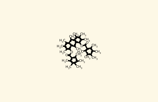 Cc1c(C)c(C)c(C(=O)Oc2c(C)c(C)c(C)c3c(C)c4c(C)c(C)c(C)c(OC(=O)c5c(C)c(C)c(C)c(C)c5C)c4c(C)c23)c(C)c1C